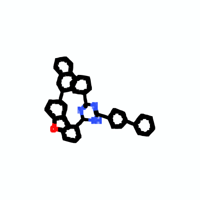 c1ccc(C2=NC(c3cccc4oc5ccc(-c6ccc7ccccc7c6)cc5c34)NC(c3ccc(-c4ccccc4)cc3)=N2)cc1